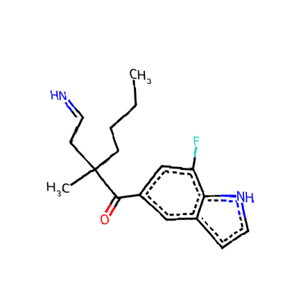 CCCCC(C)(CC=N)C(=O)c1cc(F)c2[nH]ccc2c1